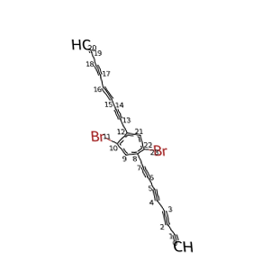 C#CC#CC#CC#Cc1cc(Br)c(C#CC#CC#CC#C)cc1Br